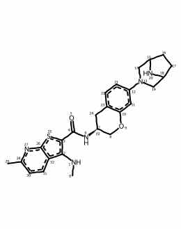 CNc1c(C(=O)N[C@@H]2COc3cc(N4CC5CCC(C4)N5)ccc3C2)sc2nc(C)ccc12